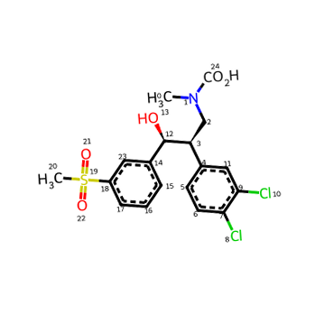 CN(C[C@@H](c1ccc(Cl)c(Cl)c1)[C@H](O)c1cccc(S(C)(=O)=O)c1)C(=O)O